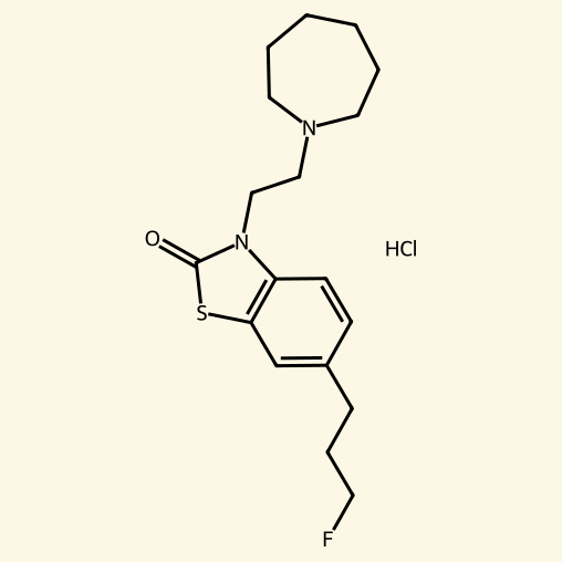 Cl.O=c1sc2cc(CCCF)ccc2n1CCN1CCCCCC1